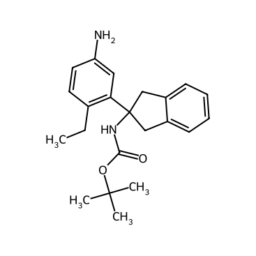 CCc1ccc(N)cc1C1(NC(=O)OC(C)(C)C)Cc2ccccc2C1